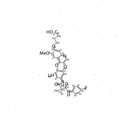 COc1cc2c(Oc3ccc(NC(=O)C4(C(=O)Nc5ccc(F)cc5)CC4)cc3Cl)ccnc2cc1OCCCC(=O)O.[LiH]